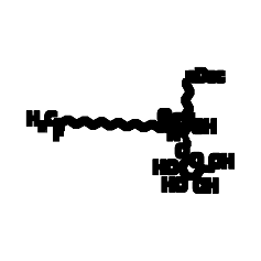 C=C(F)CCCCCCCCCCCCS(C)(=O)=N[C@@H](COC1OC(CO)C(O)C(O)C1O)[C@H](O)CCCCCCCCCCCCCCC